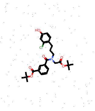 CC(C)(C)OC(=O)CN(CCCc1ccc(O)cc1Cl)C(=O)c1cccc(C(=O)OC(C)(C)C)c1